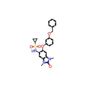 Cn1c(=O)n(C)c2cc(Oc3cccc(OCc4ccccc4)c3)c(NS(=O)(=O)C3CC3)cc21